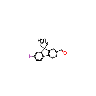 CCC1(CC)c2cc(I)ccc2-c2ccc(C=O)cc21